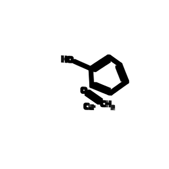 C=O.Oc1ccccc1.[Cu]